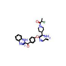 C=C/C=N\C(Oc1ccc(C(=O)C(=C)Nc2ccccc2N)cc1)=C(/N)C1CCN(C(=O)C(C)F)CC1